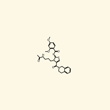 COc1ccc(C(=O)/N=c2\scc(C(=O)N3CCc4ccccc4C3)n2CCCNC(C)=O)c(OC)c1